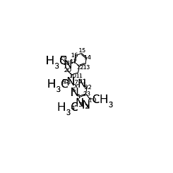 Cc1nn(C)c2nc(N(C)C3Cc4ccccc4N(C)C3)ncc12